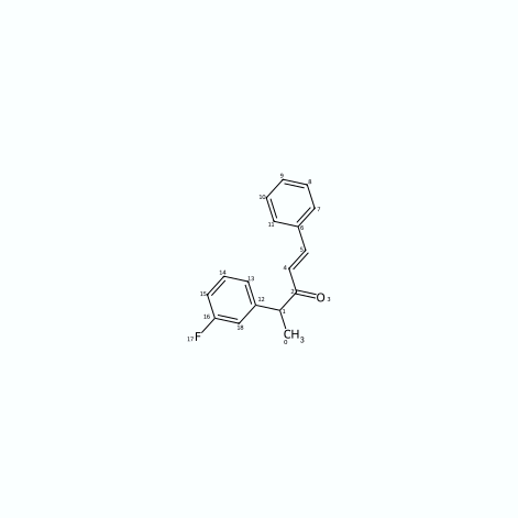 CC(C(=O)/C=C/c1ccccc1)c1cccc(F)c1